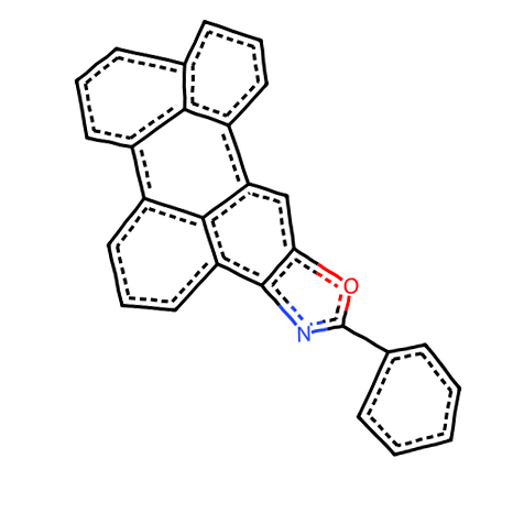 c1ccc(-c2nc3c(cc4c5cccc6cccc(c7cccc3c74)c65)o2)cc1